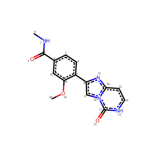 CNC(=O)c1ccc(-c2cn3c(=O)[nH]ccc3n2)c(OC)c1